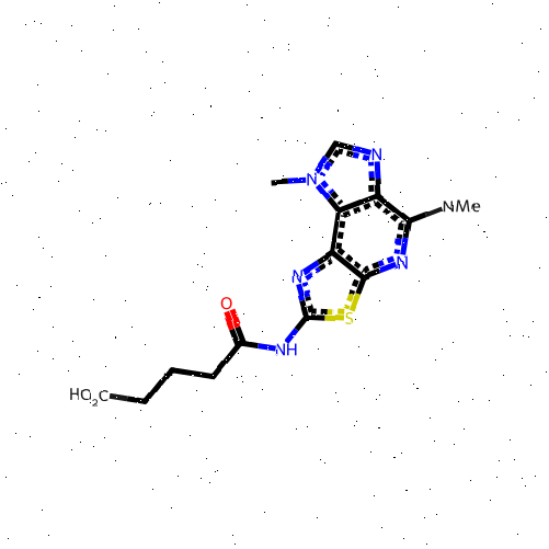 CNc1nc2sc(NC(=O)CCCC(=O)O)nc2c2c1ncn2C